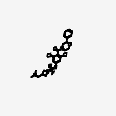 CN(C)CC1CN(S(=O)(F)=Nc2cc(Cl)c(C(=O)N3CCO[C@@H](c4ccccc4)C3)c(Cl)c2)C1